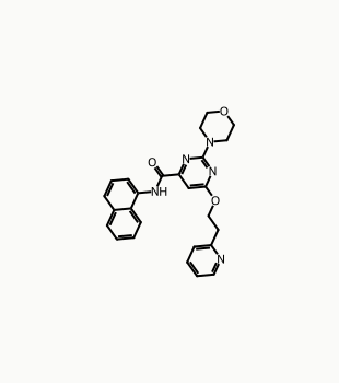 O=C(Nc1cccc2ccccc12)c1cc(OCCc2ccccn2)nc(N2CCOCC2)n1